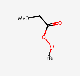 COCC(=O)OOC(C)(C)C